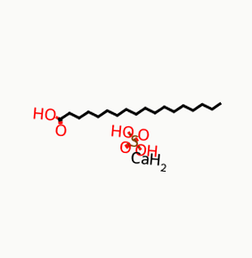 CCCCCCCCCCCCCCCCCC(=O)O.O=S(=O)(O)O.[CaH2]